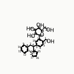 OCc1ccc(C(Cc2ccccc2)c2cccs2)cc1[C@@H]1O[C@H](CO)[C@@H](O)[C@H](O)[C@H]1O